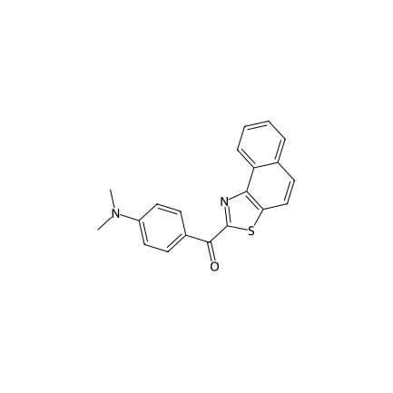 CN(C)c1ccc(C(=O)c2nc3c(ccc4ccccc43)s2)cc1